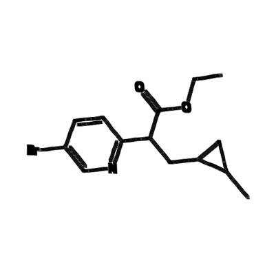 CCOC(=O)C(CC1CC1C)c1ccc(Br)cn1